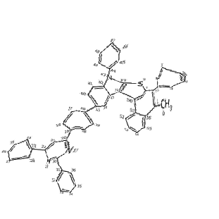 Cc1c(-c2ccccc2)c2sc3c(c4cc(-c5ccc(-c6cc(-c7ccccc7)nc(-c7ccccc7)n6)cc5)ccc4n3-c3ccccc3)c2c2ccccc12